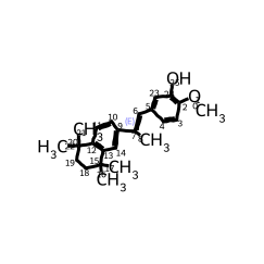 COc1ccc(/C=C(\C)c2ccc3c(c2)C(C)(C)CCC3(C)C)cc1O